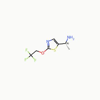 C[C@@H](N)c1cnc(OCC(F)(F)F)s1